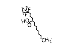 [CH2]CCCCCCCCC(CCCC(F)(F)C(F)(F)F)C(=O)O